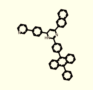 C1=C(c2ccc3ccccc3c2)N=C(c2ccc(-c3c4ccccc4c(-c4ccccc4)c4ccccc34)cc2)NC1c1ccc(-c2cccnc2)cc1